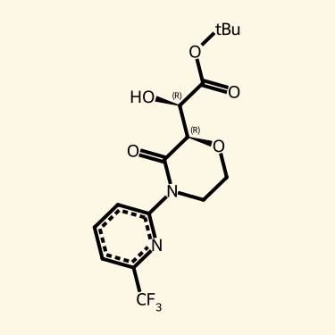 CC(C)(C)OC(=O)[C@H](O)[C@H]1OCCN(c2cccc(C(F)(F)F)n2)C1=O